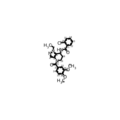 CCn1ncc2c1C(NC(=O)c1ccccc1Cl)CCN2C(=O)c1ccc(OC)c(OC)c1